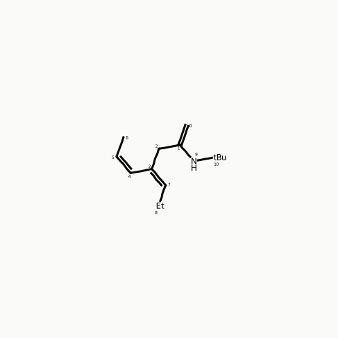 C=C(CC(/C=C\C)=C/CC)NC(C)(C)C